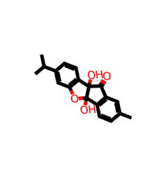 Cc1ccc2c(c1)C(=O)C1(O)c3ccc(C(C)C)cc3OC21O